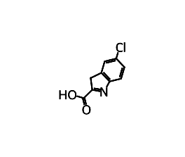 O=C(O)C1=Nc2ccc(Cl)cc2C1